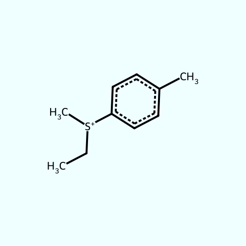 CC[S+](C)c1ccc(C)cc1